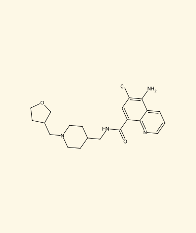 Nc1c(Cl)cc(C(=O)NCC2CCN(CC3CCOC3)CC2)c2ncccc12